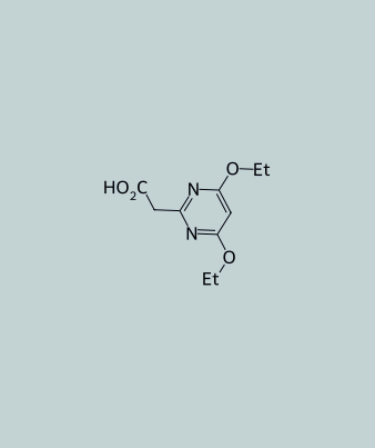 CCOc1cc(OCC)nc(CC(=O)O)n1